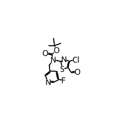 CC(C)(C)OC(=O)N(Cc1cncc(F)c1)c1nc(Cl)c(C=O)s1